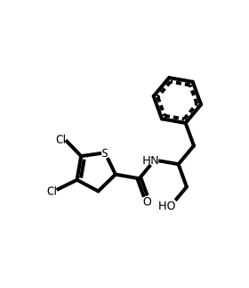 O=C(NC(CO)Cc1ccccc1)C1CC(Cl)=C(Cl)S1